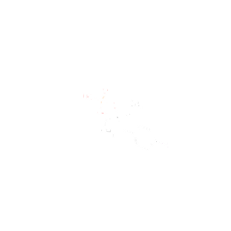 CCC(CC)(Cc1ccc(I)cc1)OP(=O)(O)O